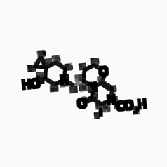 C[C@H]1C(=O)N2C(=CN1C(=O)O)OCC[C@H]2CN1CCC2(CC2)C(O)C1